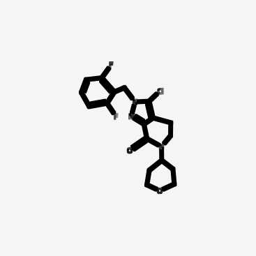 O=C1c2nn(Cc3c(F)cccc3F)c(Cl)c2CCN1C1CCOCC1